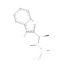 Cc1c([C@@H](C)N(C)[S+]([O-])C(C)(C)C)oc2ccccc12